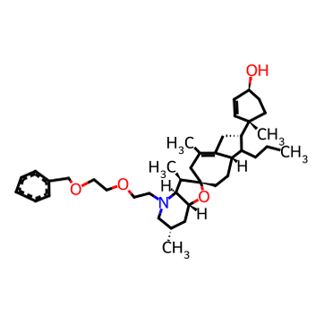 CCCC1[C@@H]2CC[C@@]3(CC(C)=C2C[C@@H]1[C@]1(C)C=C[C@@H](O)CC1)O[C@@H]1C[C@H](C)CN(CCOCCOCc2ccccc2)[C@H]1[C@H]3C